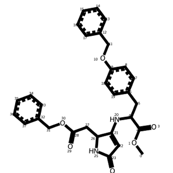 COC(=O)C(Cc1ccc(OCc2ccccc2)cc1)NC1=CC(=O)NC1CC(=O)OCc1ccccc1